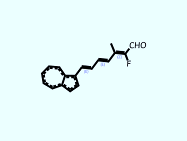 CC(/C=C/C=C/c1ccc2cccccc1-2)=C(/F)C=O